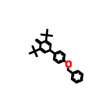 C=C1C(C(C)(C)C)=CC(c2ccc(OCc3ccccc3)cc2)C=C1C(C)(C)C